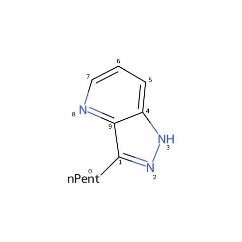 CCCCCc1n[nH]c2cccnc12